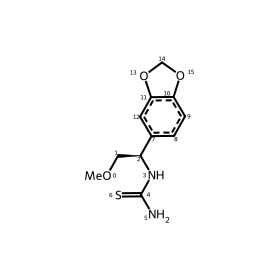 COC[C@H](NC(N)=S)c1ccc2c(c1)OCO2